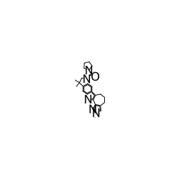 Cn1cc2c(n1)-c1c(c3cc4c(cc3n1C)C(C)(C)CN4C(=O)N1CCCC1)CCC2